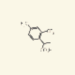 CC(C(=O)O)c1ccc(C(F)(F)F)cc1C(F)(F)F